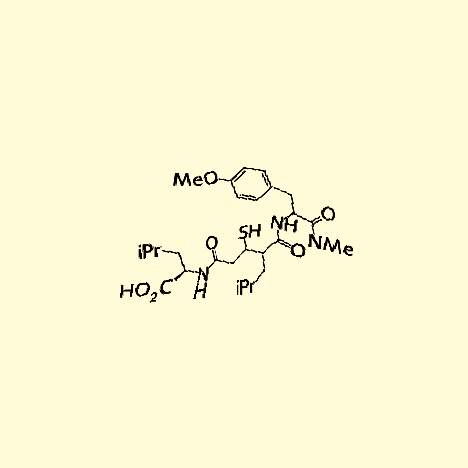 CNC(=O)C(Cc1ccc(OC)cc1)NC(=O)C(CC(C)C)C(S)CC(=O)N[C@H](CC(C)C)C(=O)O